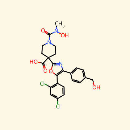 CN(O)C(=O)N1CCC(C(=O)O)(c2nc(-c3ccc(CO)cc3)c(-c3ccc(Cl)cc3Cl)o2)CC1